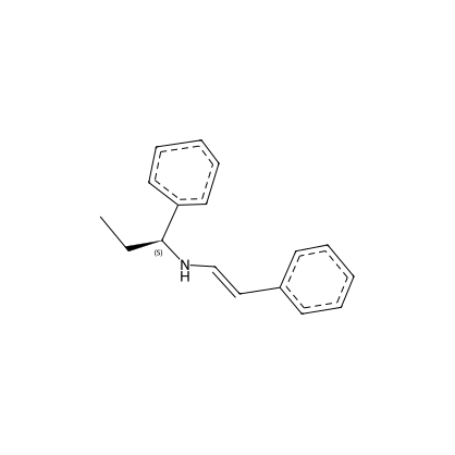 CC[C@H](NC=Cc1ccccc1)c1ccccc1